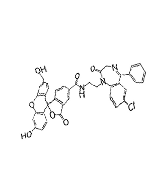 O=C(NCCN1C(=O)CN=C(c2ccccc2)c2cc(Cl)ccc21)c1ccc2c(c1)C(=O)OC21c2ccc(O)cc2Oc2cc(O)ccc21